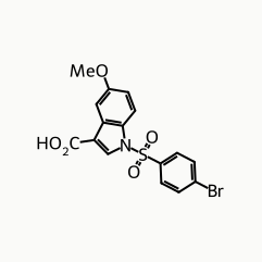 COc1ccc2c(c1)c(C(=O)O)cn2S(=O)(=O)c1ccc(Br)cc1